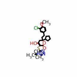 COc1ccc(CCC2(C3CCCC3)CC(O)=C(Sc3nncn3C(C)(C)C)C(=O)O2)cc1Cl